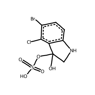 O=S(=O)(O)OC1(O)CNc2ccc(Br)c(Cl)c21